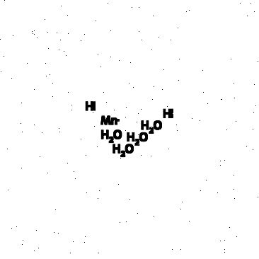 I.I.O.O.O.O.[Mn]